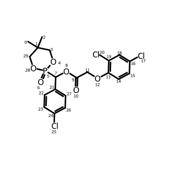 CC1(C)COP(=O)(C(OC(=O)COc2ccc(Cl)cc2Cl)c2ccc(Cl)cc2)OC1